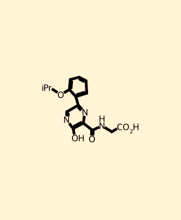 CC(C)Oc1ccccc1-c1cnc(O)c(C(=O)NCC(=O)O)n1